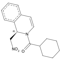 O=C(C1CCCCC1)N1C=Cc2ccccc2[C@@H]1C[N+](=O)[O-]